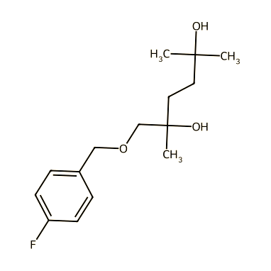 CC(C)(O)CCC(C)(O)COCc1ccc(F)cc1